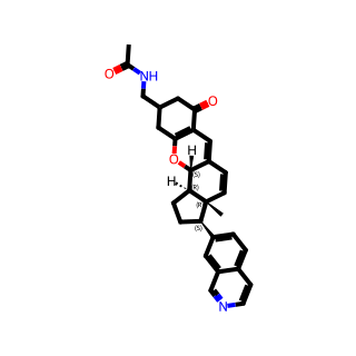 CC(=O)NCC1CC(=O)C2=C(C1)O[C@@H]1C(=C2)C=C[C@]2(C)[C@@H](c3ccc4ccncc4c3)CC[C@@H]12